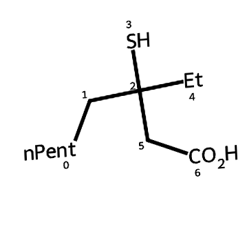 CCCCCCC(S)(CC)CC(=O)O